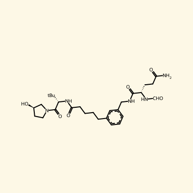 CC(C)(C)[C@H](NC(=O)CCCCc1cccc(CNC(=O)[C@H](CCC(N)=O)NC=O)c1)C(=O)N1CC[C@@H](O)C1